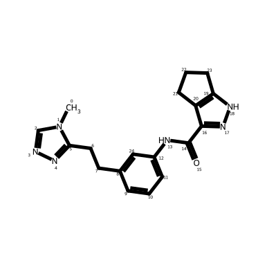 Cn1cnnc1CCc1cccc(NC(=O)c2n[nH]c3c2CCC3)c1